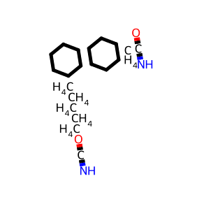 C.C.C.C.C.C.C1CCCCC1.C1CCCCC1.N=C=O.N=C=O